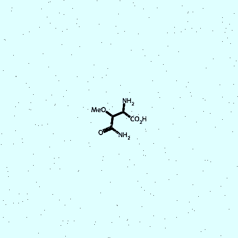 COC(C(N)=O)C(N)C(=O)O